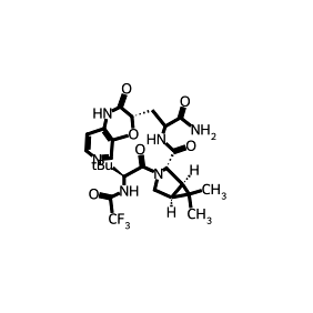 CC(C)(C)[C@H](NC(=O)C(F)(F)F)C(=O)N1C[C@H]2[C@@H]([C@H]1C(=O)NC(C[C@@H]1Oc3cnccc3NC1=O)C(N)=O)C2(C)C